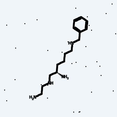 NCCNC[C@@H](N)CCCCNCc1ccccc1